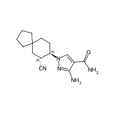 N#C[C@@H]1CC2(CCCC2)CC[C@H]1n1cc(C(N)=O)c(N)n1